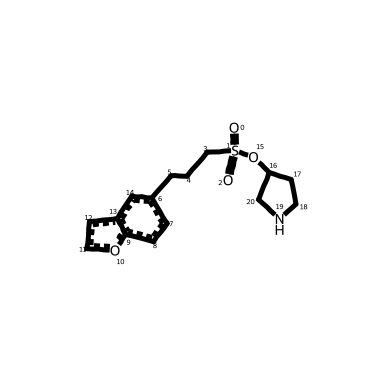 O=S(=O)(CCCc1ccc2occc2c1)OC1CCNC1